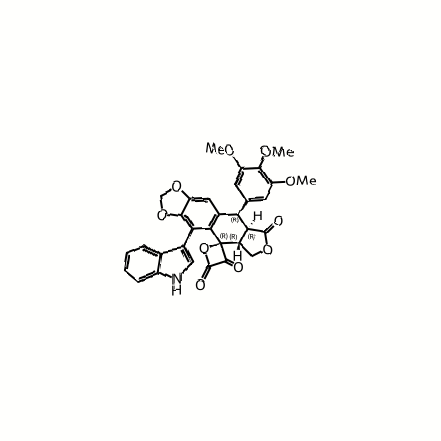 COc1cc([C@@H]2c3cc4c(c(-c5c[nH]c6ccccc56)c3[C@]3(OC(=O)C3=O)[C@H]3COC(=O)[C@H]23)OCO4)cc(OC)c1OC